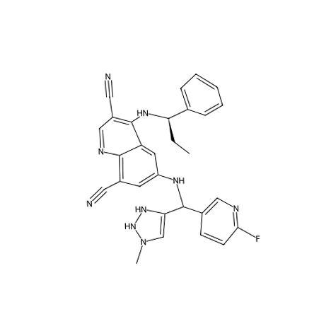 CC[C@@H](Nc1c(C#N)cnc2c(C#N)cc(NC(C3=CN(C)NN3)c3ccc(F)nc3)cc12)c1ccccc1